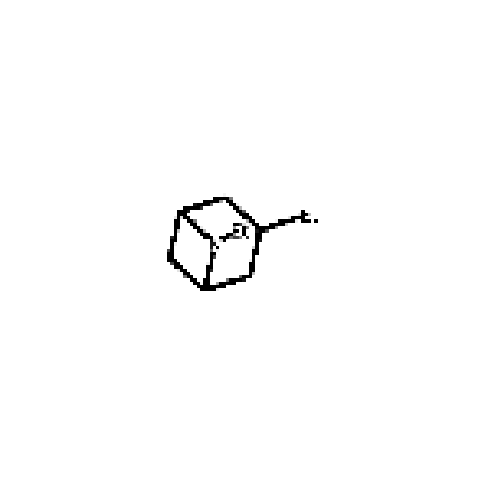 CCC1CC2CC(C1)N2CC